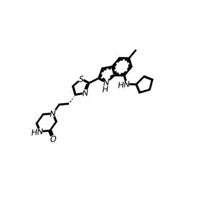 Cc1cc(NC2CCCC2)c2[nH]c(C3=N[C@H](CCN4CCNC(=O)C4)CS3)cc2c1